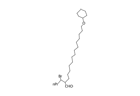 CCCC(Br)C([C]=O)CCCCCCCCCCCCCCOC1CC[CH]CC1